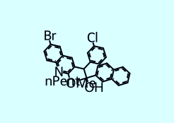 CCCCCC(O)(c1ccc2ccccc2c1)C(c1cccc(Cl)c1)c1cc2cc(Br)ccc2nc1OC